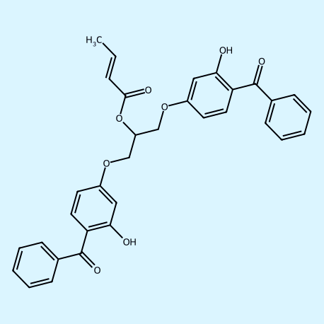 CC=CC(=O)OC(COc1ccc(C(=O)c2ccccc2)c(O)c1)COc1ccc(C(=O)c2ccccc2)c(O)c1